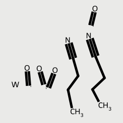 CCCC#N.CCCC#N.[C]=O.[C]=O.[C]=O.[C]=O.[W]